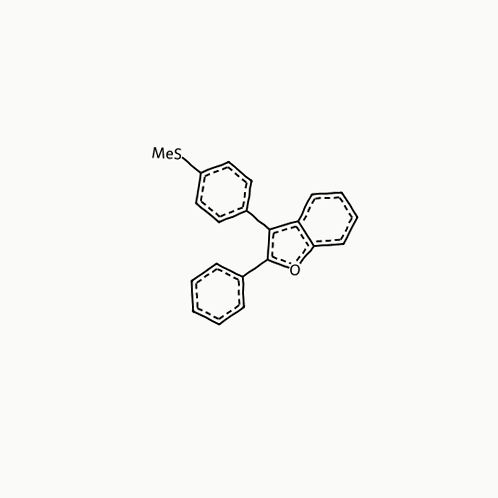 CSc1ccc(-c2c(-c3ccccc3)oc3ccccc23)cc1